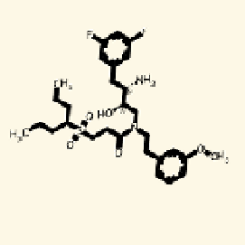 CCCC(CCC)S(=O)(=O)CCC(=O)N(CCc1cccc(OC)c1)C[C@@H](O)[C@@H](N)Cc1cc(F)cc(F)c1